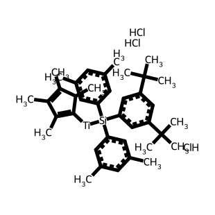 CC1=C(C)C(C)[C]([Ti][Si](c2cc(C)cc(C)c2)(c2cc(C)cc(C)c2)c2cc(C(C)(C)C)cc(C(C)(C)C)c2)=C1C.Cl.Cl.Cl